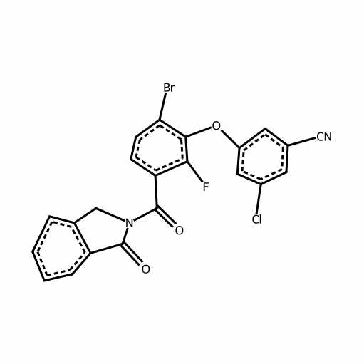 N#Cc1cc(Cl)cc(Oc2c(Br)ccc(C(=O)N3Cc4ccccc4C3=O)c2F)c1